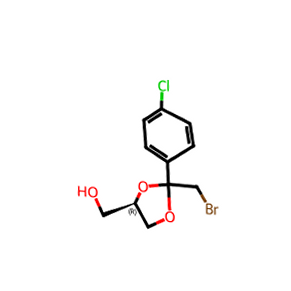 OC[C@@H]1COC(CBr)(c2ccc(Cl)cc2)O1